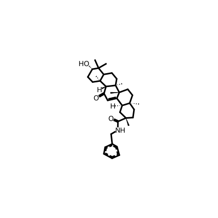 CC1(C)C2CC[C@]3(C)[C@H](C(=O)C=C4[C@@H]5C[C@@](C)(C(=O)NCc6ccccc6)CC[C@]5(C)CC[C@]43C)[C@@]2(C)CC[C@@H]1O